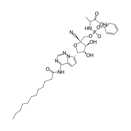 CCCCCCCCCCCC(=O)Nc1ncnn2c([C@@H]3O[C@](C#N)(CO[P@@](=O)(NC(C)C(=O)O)Oc4ccccc4)[C@@H](O)[C@H]3O)ccc12